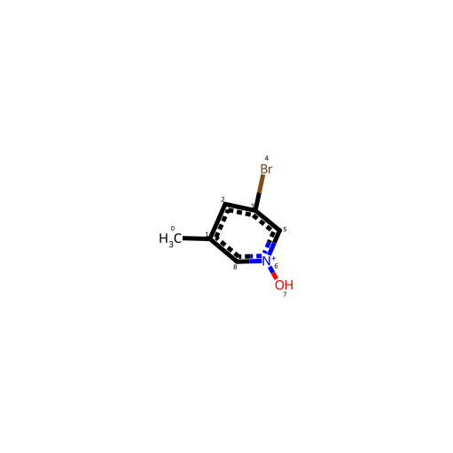 Cc1cc(Br)c[n+](O)c1